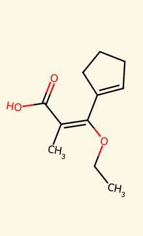 CCOC(C1=CCCC1)=C(C)C(=O)O